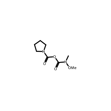 CON(C)C(=O)OC(=O)N1CCCC1